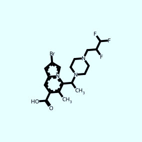 Cc1c(C(=O)O)cc2cc(Br)cn2c1C(C)N1CCN(CC(F)C(F)F)CC1